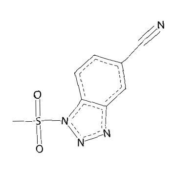 CS(=O)(=O)n1nnc2cc(C#N)ccc21